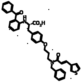 O=C(c1ccccc1)c1ccccc1N[C@@H](Cc1ccc(OCCCN(Cc2ccccc2)C(=O)/C=C/c2ccsc2)cc1)C(=O)O